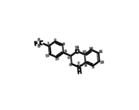 FC(F)(F)c1ccc(C2CNc3ccccc3O2)cc1